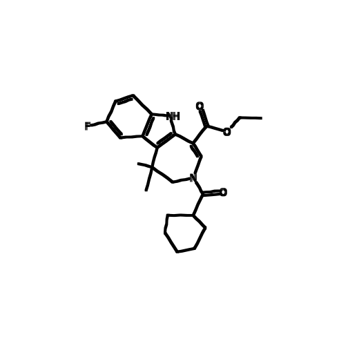 CCOC(=O)C1=CN(C(=O)C2CCCCC2)CC(C)(C)c2c1[nH]c1ccc(F)cc21